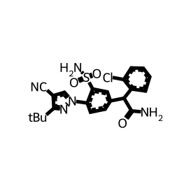 CC(C)(C)c1nn(-c2ccc(C(C(N)=O)c3ccccc3Cl)cc2S(N)(=O)=O)cc1C#N